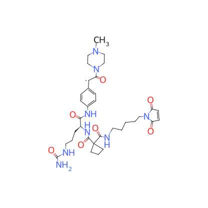 CN1CCN(C(=O)[CH]c2ccc(NC(=O)[C@H](CCCNC(N)=O)NC(=O)C3(C(=O)NCCCCCN4C(=O)C=CC4=O)CCC3)cc2)CC1